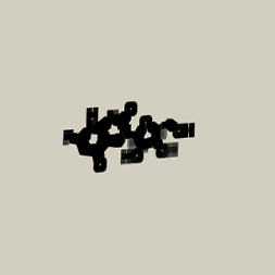 O=c1cc(F)[nH]c2nc(=O)n([C@@H]3O[C@H](CO)C(O)[C@@H]3O)cc12